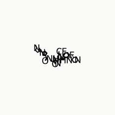 CN1CCC(n2ccc(C(=O)NCc3nc(-c4cc5c(N[C@@H]6CCN(C)C[C@@H]6F)cccc5n4CC(F)(F)F)no3)c2)C1